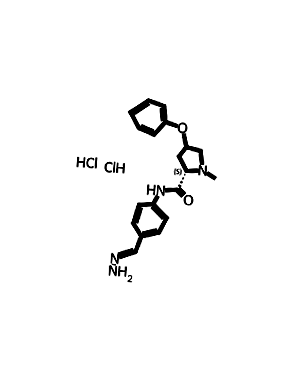 CN1CC(Oc2ccccc2)C[C@H]1C(=O)Nc1ccc(C=NN)cc1.Cl.Cl